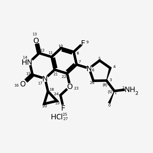 C[C@H](N)[C@@H]1CCN(c2c(F)cc3c(=O)[nH]c(=O)n(C4CC4)c3c2OCF)C1.Cl